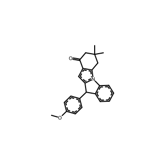 COc1ccc(C2c3ccccc3-n3c2cc2c3CC(C)(C)CC2=O)cc1